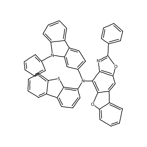 c1ccc(-c2nc3c(N(c4ccc5c6ccccc6n(-c6ccccc6)c5c4)c4cccc5c4sc4ccccc45)c4oc5ccccc5c4cc3o2)cc1